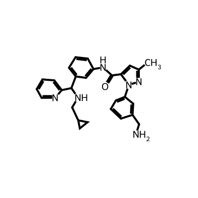 Cc1cc(C(=O)Nc2cccc(C(NCC3CC3)c3ccccn3)c2)n(-c2cccc(CN)c2)n1